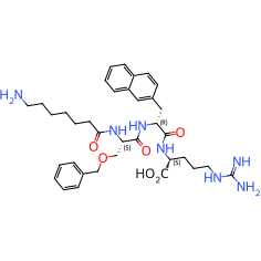 N=C(N)NCCC[C@H](NC(=O)[C@@H](Cc1ccc2ccccc2c1)NC(=O)[C@H](COCc1ccccc1)NC(=O)CCCCCCN)C(=O)O